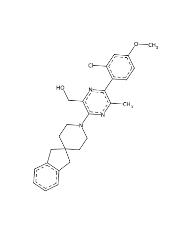 COc1ccc(-c2nc(CO)c(N3CCC4(CC3)Cc3ccccc3C4)nc2C)c(Cl)c1